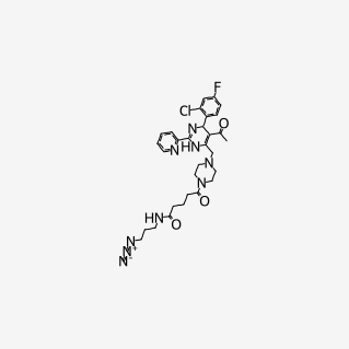 CC(=O)C1=C(CN2CCN(C(=O)CCCC(=O)NCCCN=[N+]=[N-])CC2)NC(c2ccccn2)=NC1c1ccc(F)cc1Cl